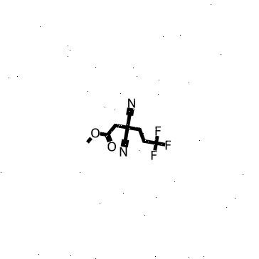 COC(=O)CC(C#N)(C#N)CCC(F)(F)F